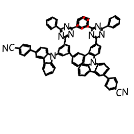 N#Cc1ccc(-c2ccc3c(c2)c2ccccc2n3-c2cc(-c3cccc(-c4cc(-c5nc(-c6ccccc6)nc(-c6ccccc6)n5)ccc4-n4c5ccccc5c5cc(-c6ccc(C#N)cc6)ccc54)c3)cc(-c3nc(-c4ccccc4)nc(-c4ccccc4)n3)c2)cc1